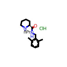 CCCN1CCCC[C@H]1C(=O)NCc1c(C)cccc1C.Cl